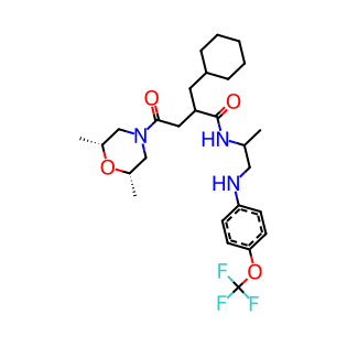 CC(CNc1ccc(OC(F)(F)F)cc1)NC(=O)C(CC(=O)N1C[C@@H](C)O[C@@H](C)C1)CC1CCCCC1